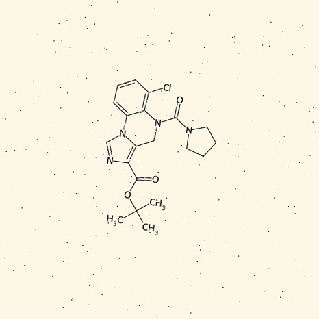 CC(C)(C)OC(=O)c1ncn2c1CN(C(=O)N1CCCC1)c1c(Cl)cccc1-2